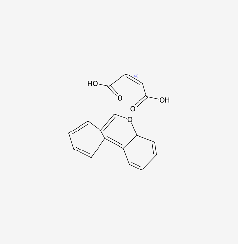 C1=CC2=c3ccccc3=COC2C=C1.O=C(O)/C=C\C(=O)O